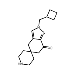 O=C1CC2(CCNCC2)Cc2cn(CC3CCC3)nc21